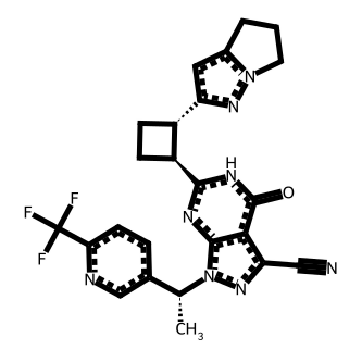 C[C@H](c1ccc(C(F)(F)F)nc1)n1nc(C#N)c2c(=O)[nH]c([C@H]3CC[C@@H]3c3cc4n(n3)CCC4)nc21